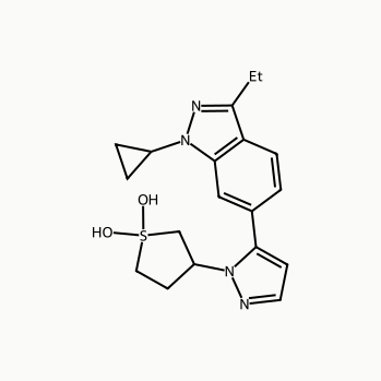 CCc1nn(C2CC2)c2cc(-c3ccnn3C3CCS(O)(O)C3)ccc12